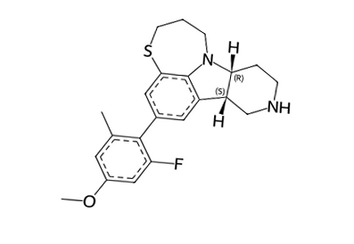 COc1cc(C)c(-c2cc3c4c(c2)[C@H]2CNCC[C@H]2N4CCCS3)c(F)c1